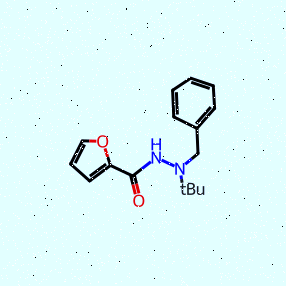 CC(C)(C)N(Cc1ccccc1)NC(=O)c1ccco1